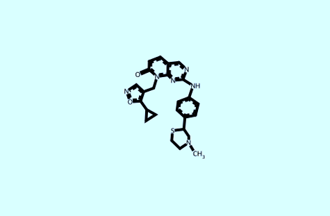 CN1CCSC(c2ccc(Nc3ncc4ccc(=O)n(Cc5cnoc5C5CC5)c4n3)cc2)C1